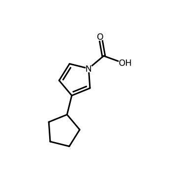 O=C(O)n1ccc(C2CCCC2)c1